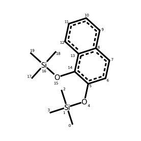 C[Si](C)(C)Oc1ccc2ccccc2c1O[Si](C)(C)C